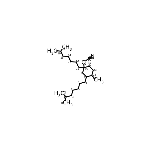 CC(C)CCCCCC1CC(CCCCCC(C)C)(OC#N)CCC1C